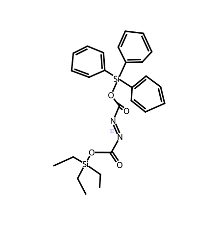 CC[Si](CC)(CC)OC(=O)/N=N/C(=O)O[Si](c1ccccc1)(c1ccccc1)c1ccccc1